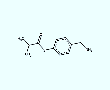 CC(C)C(=O)Sc1ccc(CN)cc1